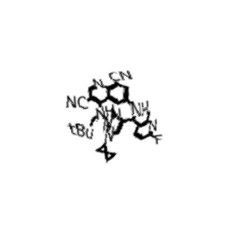 Cc1nc(F)ccc1C(Nc1cc(C#N)c2ncc(C#N)c(NCC(C)(C)C)c2c1)c1cn(C2CC23CC3)nn1